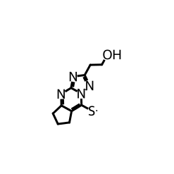 OCCc1nc2nc3c(c([S])n2n1)CCC3